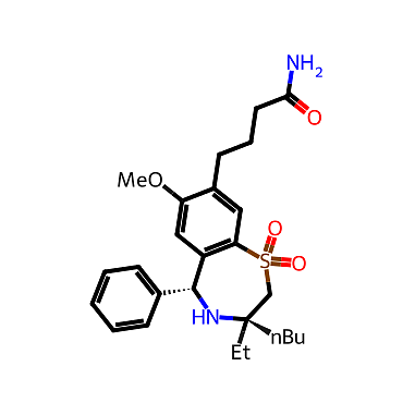 CCCC[C@]1(CC)CS(=O)(=O)c2cc(CCCC(N)=O)c(OC)cc2[C@@H](c2ccccc2)N1